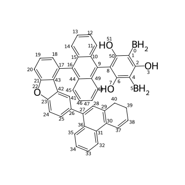 Bc1c(O)c(B)c(O)c(-c2c3ccccc3c(-c3cccc4oc5ccc(-c6cc7c(c8ccccc68)C=CCC7)cc5c34)c3ccccc23)c1O